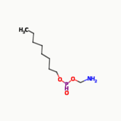 CCCCCCCCO[PH](=O)OCN